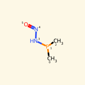 CP(C)NN=O